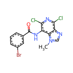 Cn1cnc2c(Cl)nc(Cl)c(NC(=O)c3cccc(Br)c3)c21